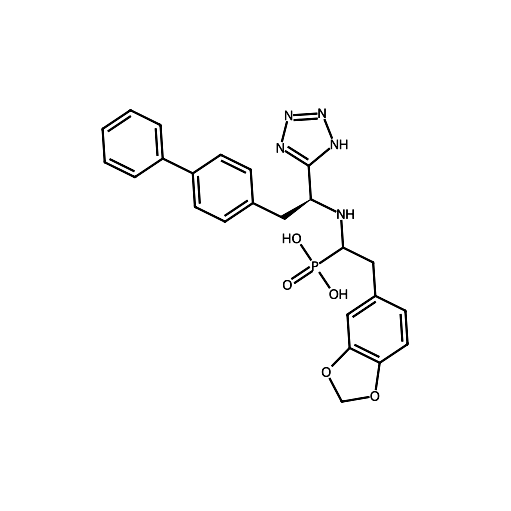 O=P(O)(O)C(Cc1ccc2c(c1)OCO2)N[C@@H](Cc1ccc(-c2ccccc2)cc1)c1nnn[nH]1